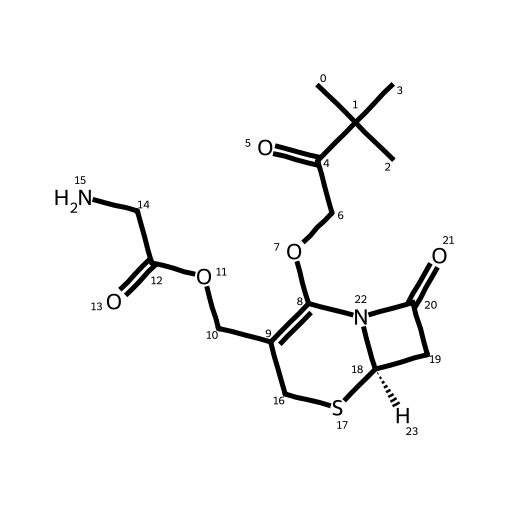 CC(C)(C)C(=O)COC1=C(COC(=O)CN)CS[C@@H]2CC(=O)N12